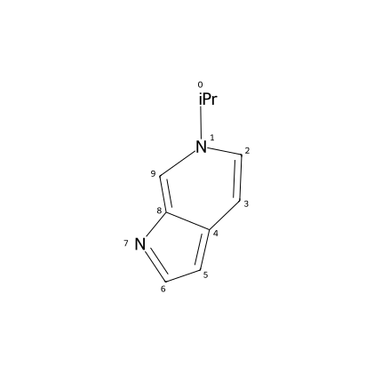 CC(C)n1ccc2ccnc-2c1